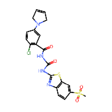 CS(=O)(=O)c1ccc2nc(NC(=O)NC(=O)c3cc(N4CC=CC4)ccc3Cl)sc2c1